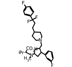 CC(C)[C@H](C(=O)O)N(C)C1CC(CN2CCC(CCC(F)(F)c3ccc(F)cc3)CC2)C(c2cccc(F)c2)C1